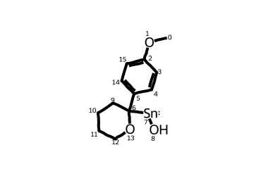 COc1ccc([C]2([Sn][OH])CCCCO2)cc1